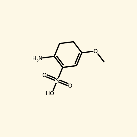 COC1=CC(S(=O)(=O)O)=C(N)CC1